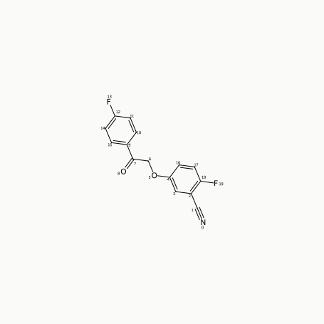 N#Cc1cc(OCC(=O)c2ccc(F)cc2)ccc1F